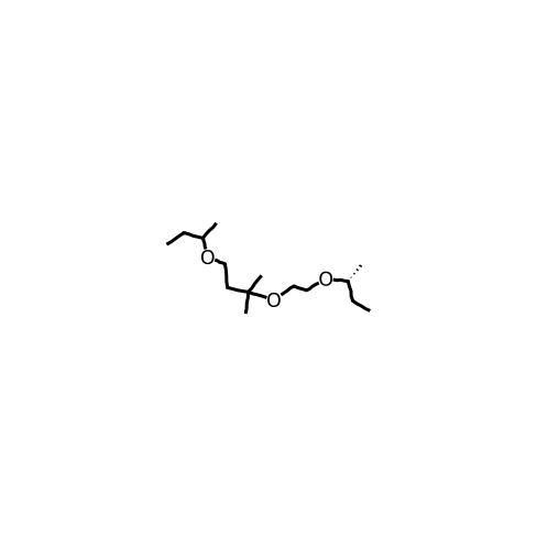 CCC(C)OCCC(C)(C)OCCO[C@H](C)CC